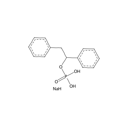 O=P(O)(O)OC(Cc1ccccc1)c1ccccc1.[NaH]